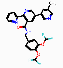 Cc1cncc(-c2cnc(-c3ccccn3)c(C(=O)NCc3ccc(OC(F)F)c(OC(F)F)c3)c2)c1